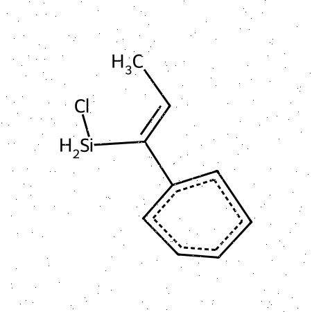 CC=C([SiH2]Cl)c1ccccc1